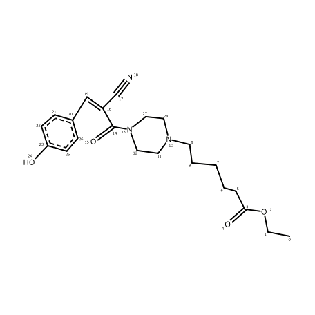 CCOC(=O)CCCCCN1CCN(C(=O)/C(C#N)=C\c2ccc(O)cc2)CC1